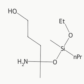 CCC[Si](C)(OCC)OC(C)(N)CCCO